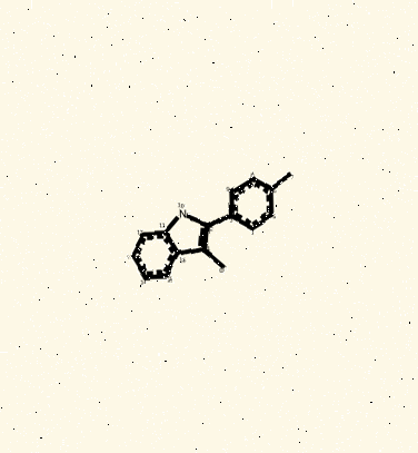 CC1=C(c2ccc(C)cc2)[N]c2ccccc21